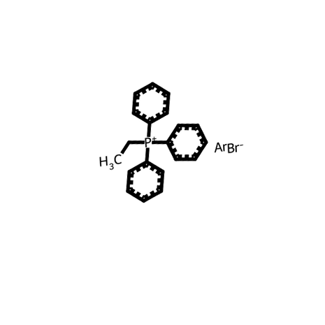 CC[P+](c1ccccc1)(c1ccccc1)c1ccccc1.[Ar].[Br-]